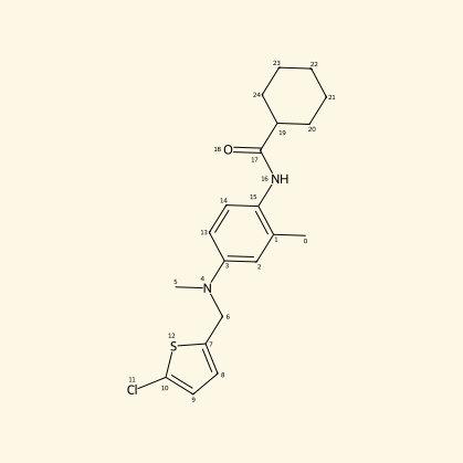 Cc1cc(N(C)Cc2ccc(Cl)s2)ccc1NC(=O)C1CCCCC1